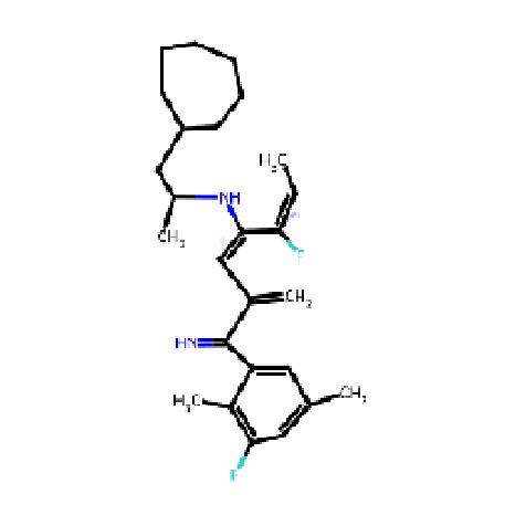 C=C(/C=C(NC(C)CC1CCCCCC1)\C(F)=C/C)C(=N)c1cc(C)cc(F)c1C